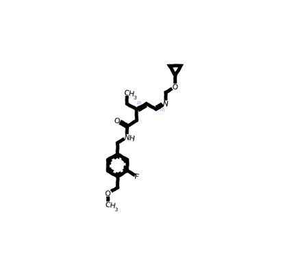 CC/C(=C/C=N\COC1CC1)CC(=O)NCc1ccc(COC)c(F)c1